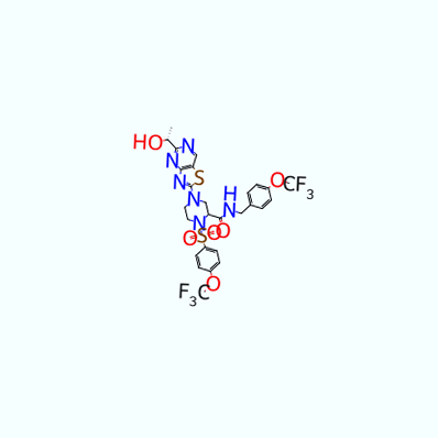 C[C@@H](O)c1ncc2sc(N3CCN(S(=O)(=O)c4ccc(OC(F)(F)F)cc4)C(C(=O)NCc4ccc(OC(F)(F)F)cc4)C3)nc2n1